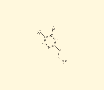 CC(=O)c1cc(CCC=O)ccc1[N+](=O)[O-]